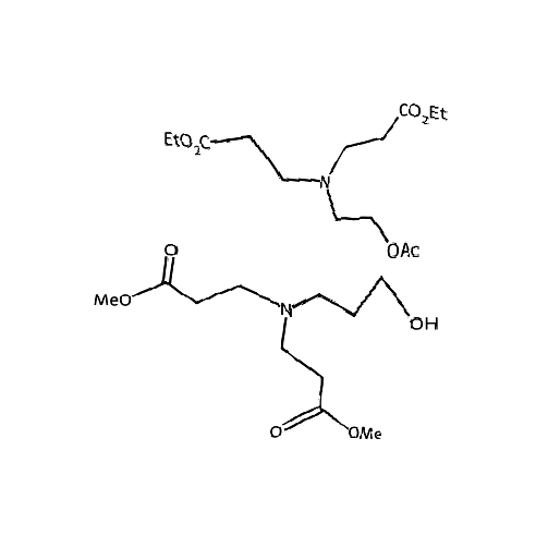 CCOC(=O)CCN(CCOC(C)=O)CCC(=O)OCC.COC(=O)CCN(CCCO)CCC(=O)OC